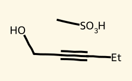 CCC#CCO.CS(=O)(=O)O